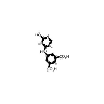 O=C(O)c1cc(Nc2ncnc(O)n2)cc(C(=O)O)c1